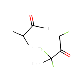 CCC(C(=O)O)C(=O)C(F)(F)F.O=C(O)C(F)(F)C(=O)CF